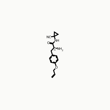 C=CCOc1ccc(C[C@H](N)C(=O)NC2(C#N)CC2)cc1